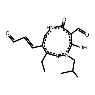 CCc1nn(CC(C)C)c(O)c(C=O)c(=O)[nH]cc1/C=C/C=O